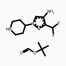 CC(C)(C)OC=O.Nc1cn(C2CCNCC2)nc1C(F)F